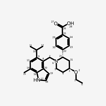 CCO[C@H]1CCN(Cc2c(C(C)C)cc(C)c3[nH]ccc23)[C@H](c2ccc(C(=O)O)cc2)C1